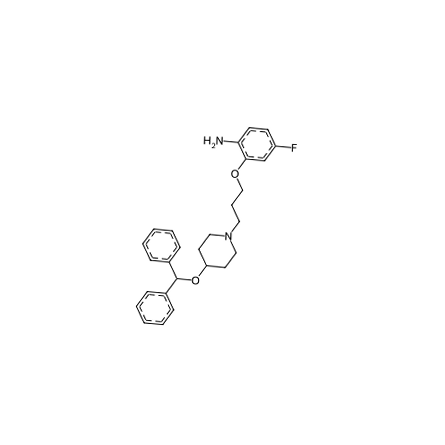 Nc1ccc(F)cc1OCCCN1CCC(OC(c2ccccc2)c2ccccc2)CC1